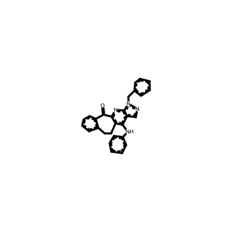 O=C1c2ccccc2CCc2c1nc1c(cnn1Cc1ccccc1)c2Nc1ccccc1